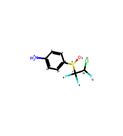 Nc1ccc([S+]([O-])C(F)(F)C(F)Cl)cc1